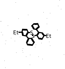 CCc1ccc(SSc2ccc(CC)cc2-c2ccccc2)c(-c2ccccc2)c1